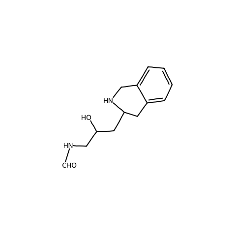 O=CNCC(O)CC1Cc2ccccc2CN1